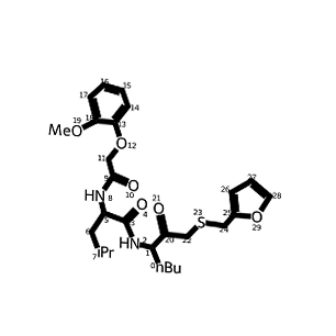 CCCCC(NC(=O)C(CC(C)C)NC(=O)COc1ccccc1OC)C(=O)CSCc1ccco1